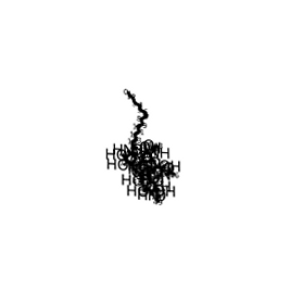 CCCCCC/C=C\CCCCCCCC(=O)NC1C(O[C@@H]2C(CO)OC(O[C@@H]3C(CO)OC(O[C@@H]4C(COS(=O)(=O)O)OC(O)C(NC(C)=O)C4O)C(NC(C)=O)C3O)C(NC(C)=O)C2O)OC(CO)[C@@H](O)C1O